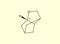 C1O[C@H]2CC3CC1C2C3